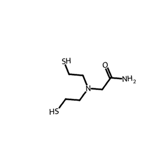 NC(=O)CN(CCS)CCS